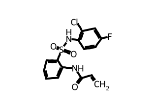 C=CC(=O)Nc1ccccc1S(=O)(=O)Nc1ccc(F)cc1Cl